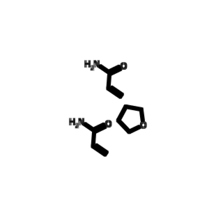 C1CCOC1.C=CC(N)=O.C=CC(N)=O